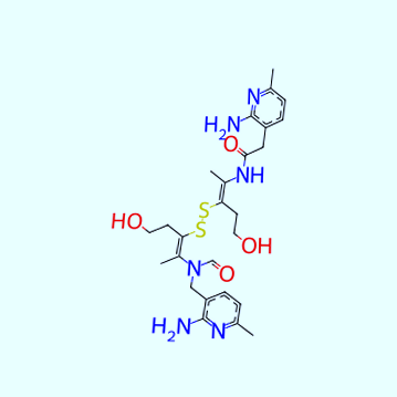 C/C(=C(\CCO)SS/C(CCO)=C(\C)NC(=O)Cc1ccc(C)nc1N)N(C=O)Cc1ccc(C)nc1N